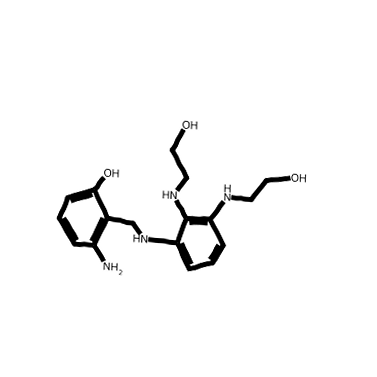 Nc1cccc(O)c1CNc1cccc(NCCO)c1NCCO